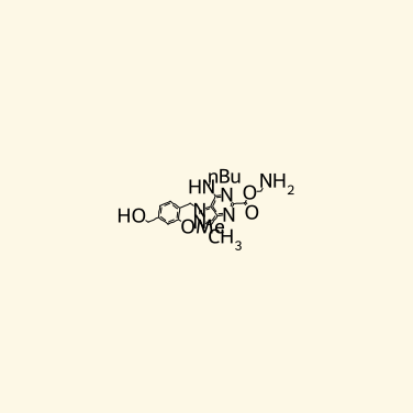 CCCCNc1nc(C(=O)OCN)nc2c(C)nn(Cc3ccc(CO)cc3OC)c12